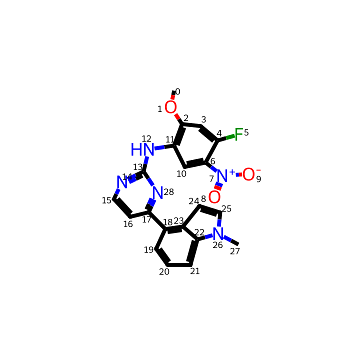 COc1cc(F)c([N+](=O)[O-])cc1Nc1nccc(-c2cccc3c2ccn3C)n1